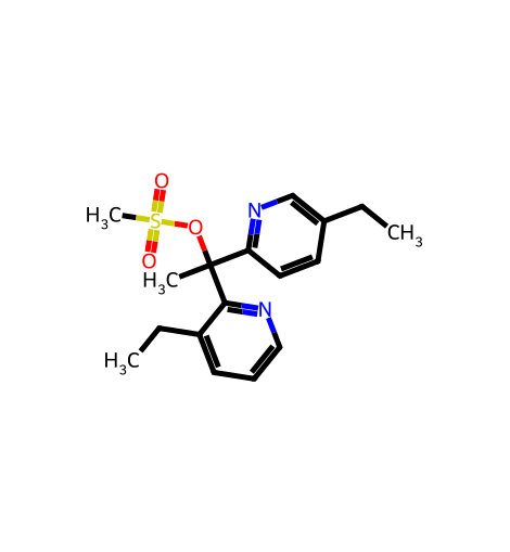 CCc1ccc(C(C)(OS(C)(=O)=O)c2ncccc2CC)nc1